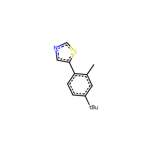 Cc1cc(C(C)(C)C)ccc1-c1cncs1